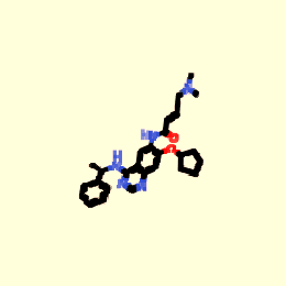 C[C@@H](Nc1ncnc2cc(OC3CCCC3)c(NC(=O)C=CCN(C)C)cc12)c1ccccc1